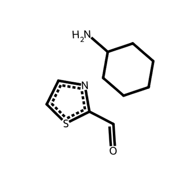 NC1CCCCC1.O=Cc1nccs1